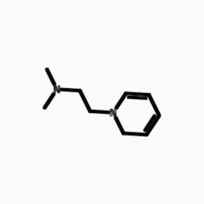 CN(C)CCN1C=CC=CC1